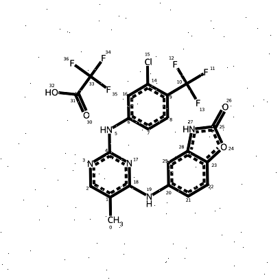 Cc1cnc(Nc2ccc(C(F)(F)F)c(Cl)c2)nc1Nc1ccc2oc(=O)[nH]c2c1.O=C(O)C(F)(F)F